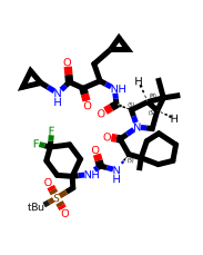 CC1([C@H](NC(=O)NC2(CS(=O)(=O)C(C)(C)C)CCC(F)(F)CC2)C(=O)N2C[C@H]3[C@@H]([C@H]2C(=O)NC(CC2CC2)C(=O)C(=O)NC2CC2)C3(C)C)CCCCC1